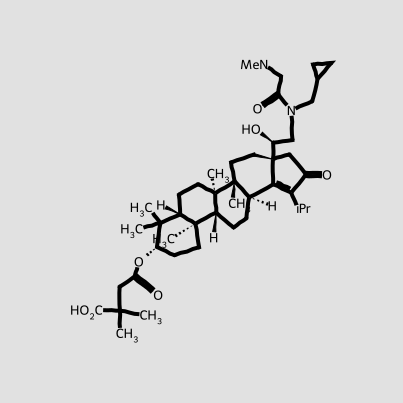 CNCC(=O)N(CC1CC1)C[C@H](O)[C@@]12CC[C@]3(C)[C@H](CC[C@@H]4[C@@]5(C)CC[C@H](OC(=O)CC(C)(C)C(=O)O)C(C)(C)[C@@H]5CC[C@]43C)C1=C(C(C)C)C(=O)C2